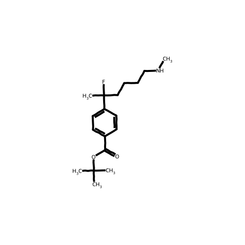 CNCCCCC(C)(F)c1ccc(C(=O)OC(C)(C)C)cc1